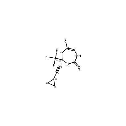 O=C1NC=C(Cl)C[C@](C#CC2CC2)(C(F)(F)F)O1